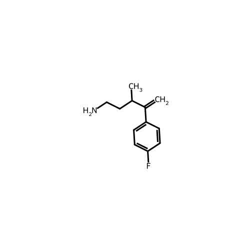 C=C(c1ccc(F)cc1)C(C)CCN